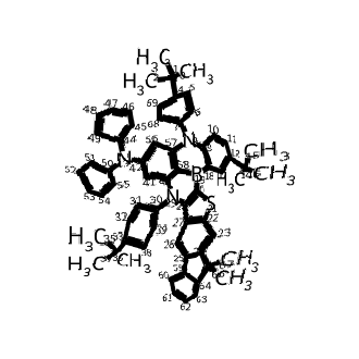 CC(C)(C)c1ccc(N2c3ccc(C(C)(C)C)cc3B3c4sc5cc6c(cc5c4N(c4ccc(C(C)(C)C)cc4)c4cc(N(c5ccccc5)c5ccccc5)cc2c43)-c2ccccc2C6(C)C)cc1